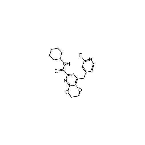 O=C(NC1CCCCC1)c1cc(Cc2ccnc(F)c2)c2c(n1)OCCO2